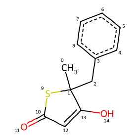 CC1(Cc2ccccc2)SC(=O)C=C1O